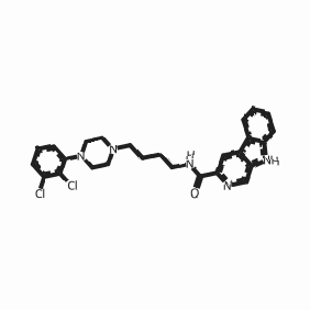 O=C(NCCCCN1CCN(c2cccc(Cl)c2Cl)CC1)c1cc2c(cn1)[nH]c1ccccc12